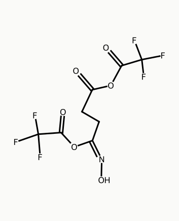 O=C(CC/C(=N/O)OC(=O)C(F)(F)F)OC(=O)C(F)(F)F